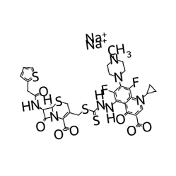 CN1CCN(c2c(F)c(NNC(=S)SCC3=C(C(=O)[O-])N4C(=O)[C@@H](NC(=O)Cc5cccs5)[C@H]4SC3)c3c(=O)c(C(=O)[O-])cn(C4CC4)c3c2F)CC1.[Na+].[Na+]